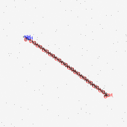 CNC(=O)NCCOCCOCCOCCOCCOCCOCCOCCOCCOCCOCCOCCOCCOCCOCCOCCOCCOCCOCCOCCOCCOCCOCCOCCOCCC(=O)O